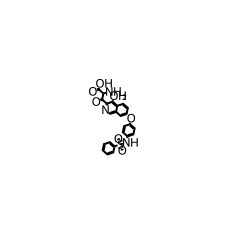 NC(C(=O)O)C(=O)c1ncc2cc(Oc3ccc(NS(=O)(=O)c4ccccc4)cc3)ccc2c1O